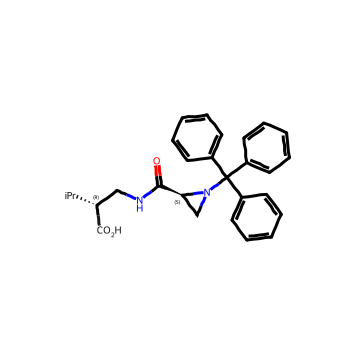 CC(C)[C@H](CNC(=O)[C@@H]1CN1C(c1ccccc1)(c1ccccc1)c1ccccc1)C(=O)O